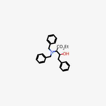 CCOC(=O)[C@@H]([C@@H](O)Cc1ccccc1)N(Cc1ccccc1)Cc1ccccc1